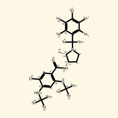 [2H]c1c([2H])c([2H])c(C([2H])([2H])N2CC[C@H](NC(=O)c3cc(Cl)c(NC([2H])([2H])[2H])cc3OC([2H])([2H])[2H])[C@@H]2C)c([2H])c1[2H]